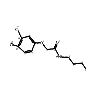 CCCCNC(=O)COc1ccc(Cl)c(Cl)c1